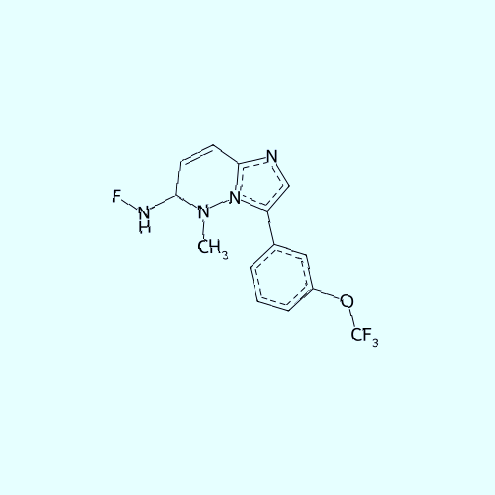 CN1C(NF)C=Cc2ncc(-c3cccc(OC(F)(F)F)c3)n21